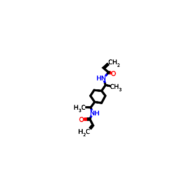 C=CC(=O)NC(C)C1CCC(C(C)NC(=O)C=C)CC1